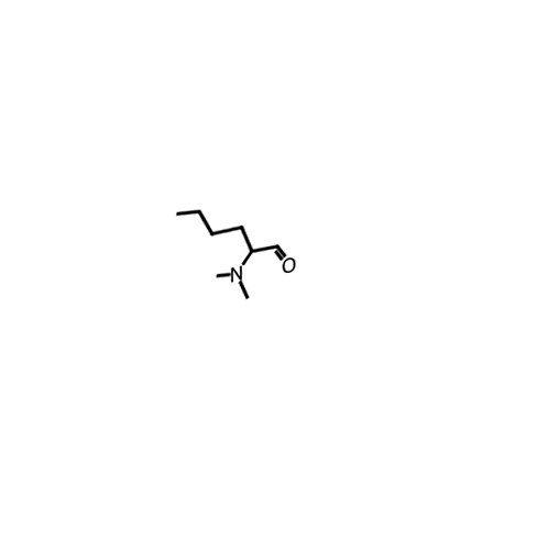 CCCCC(C=O)N(C)C